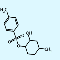 Cc1ccc(S(=O)(=O)OC2CCC(C)CC2O)cc1